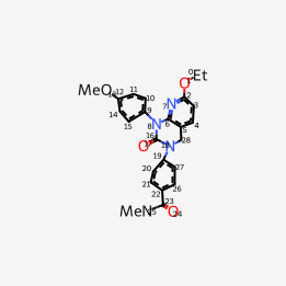 CCOc1ccc2c(n1)N(c1ccc(OC)cc1)C(=O)N(c1ccc(C(=O)NC)cc1)C2